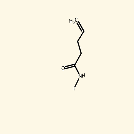 C=CCCC(=O)NI